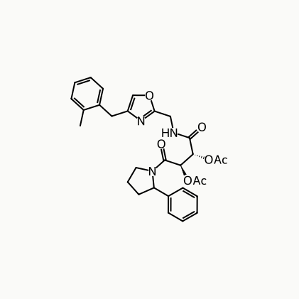 CC(=O)O[C@@H](C(=O)NCc1nc(Cc2ccccc2C)co1)[C@@H](OC(C)=O)C(=O)N1CCCC1c1ccccc1